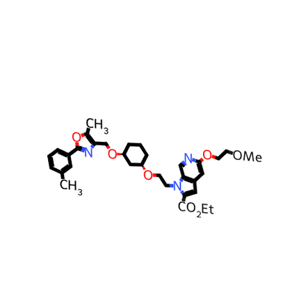 CCOC(=O)c1cc2cc(OCCOC)ncc2n1CCO[C@@H]1CCC[C@H](OCc2nc(-c3cccc(C)c3)oc2C)C1